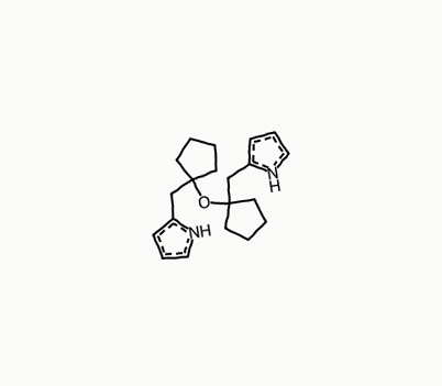 c1c[nH]c(CC2(OC3(Cc4ccc[nH]4)CCCC3)CCCC2)c1